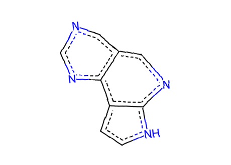 c1ncc2cnc3[nH]ccc3c2n1